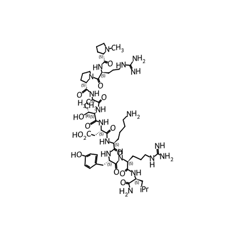 CC(C)C[C@H](NC(=O)[C@H](CCCNC(=N)N)NC(=O)[C@H](Cc1ccc(O)cc1)NC(=O)[C@H](CCCCN)NC(=O)[C@H](CC(=O)O)NC(=O)[C@@H](NC(=O)[C@H](C)NC(=O)[C@@H]1CCCN1C(=O)[C@H](CCCNC(=N)N)NC(=O)[C@@H]1CCCN1C)[C@@H](C)O)C(N)=O